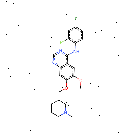 COc1cc2c(Nc3ccc(Cl)cc3F)ncnc2cc1OC[C@H]1CCCN(C)C1